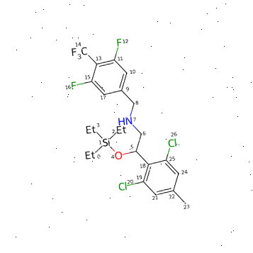 CC[Si](CC)(CC)OC(CNCc1cc(F)c(C(F)(F)F)c(F)c1)c1c(Cl)cc(C)cc1Cl